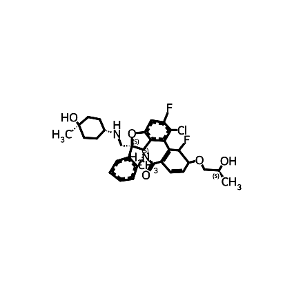 C[C@H](O)COC1C=CC(C(N)=O)=C(c2c(Cl)c(F)cc3c2[C@H](C)[C@@](CN[C@H]2CC[C@](C)(O)CC2)(c2ccccc2)O3)C1F